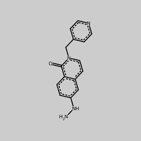 NNc1ccc2c(=O)n(Cc3ccncc3)ccc2c1